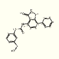 CSc1cccc(NC(=O)Nc2ccc(-c3ccccc3)c3c2C(=O)NC3)c1